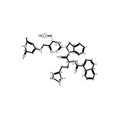 Cc1cc(OCC(=O)[C@H](CC(=O)O)NC(=O)[C@@H]2Cc3ccccc3N2C(=O)[C@H](CCc2nn[nH]n2)NC(=O)c2cccc3ccccc23)cc(=O)o1